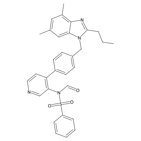 CCCc1nc2c(C)cc(C)cc2n1Cc1ccc(-c2ccncc2N(C=O)S(=O)(=O)c2ccccc2)cc1